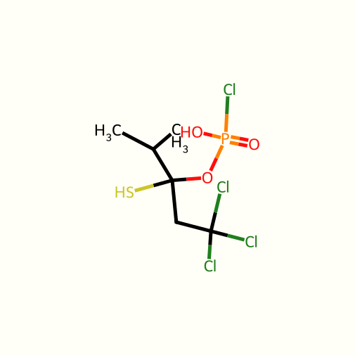 CC(C)C(S)(CC(Cl)(Cl)Cl)OP(=O)(O)Cl